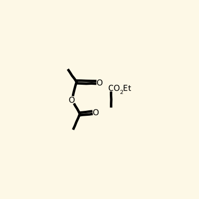 CC(=O)OC(C)=O.CCOC(C)=O